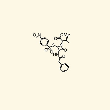 C=C(C)C(C(=O)OC)N1C(=O)C(NC(=O)Cc2ccccc2)C1SS(=O)(=O)c1ccc([N+](=O)[O-])cc1